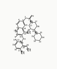 C=C(Cc1ccc2nc(C)c(CN3C(C)=CC=C(CC)/C3=C\CC)c(CC)c2c1)N1CCC(N2CCCCC2)CC1